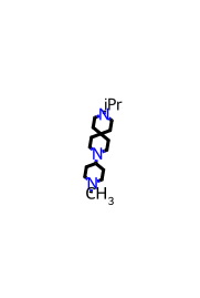 CC(C)N1CCC2(CC1)CCN(C1CCN(C)CC1)CC2